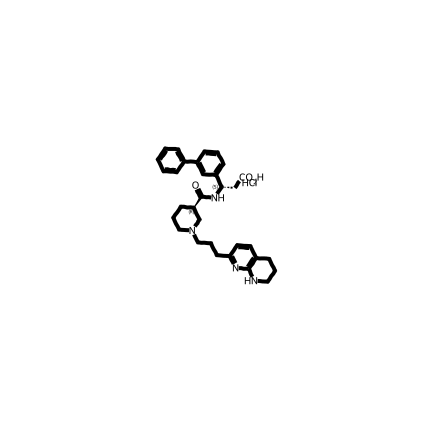 Cl.O=C(O)C[C@H](NC(=O)[C@@H]1CCCN(CCCc2ccc3c(n2)NCCC3)C1)c1cccc(-c2ccccc2)c1